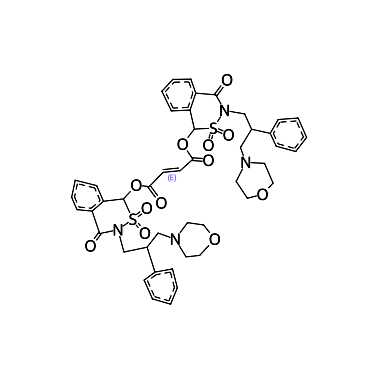 O=C(/C=C/C(=O)OC1c2ccccc2C(=O)N(CC(CN2CCOCC2)c2ccccc2)S1(=O)=O)OC1c2ccccc2C(=O)N(CC(CN2CCOCC2)c2ccccc2)S1(=O)=O